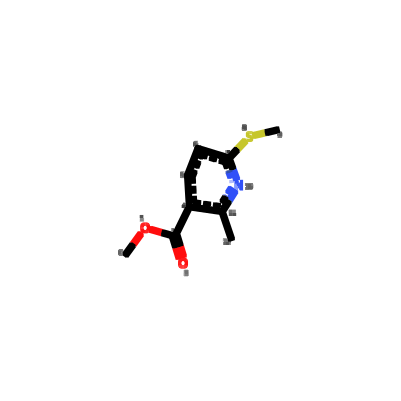 COC(=O)c1ccc(SC)nc1C